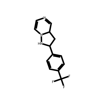 FC(F)(F)c1ccc(C2CC3C=NC=CN3N2)cc1